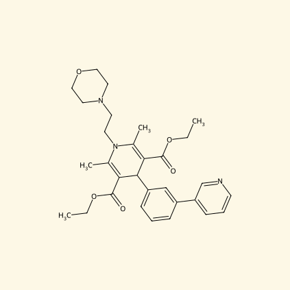 CCOC(=O)C1=C(C)N(CCN2CCOCC2)C(C)=C(C(=O)OCC)C1c1cccc(-c2cccnc2)c1